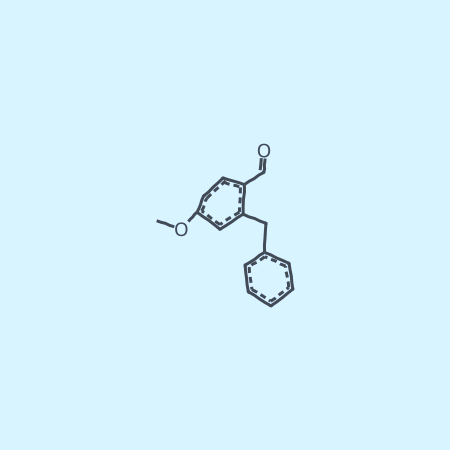 COc1ccc(C=O)c(Cc2ccccc2)c1